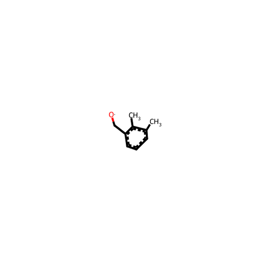 Cc1cccc(C[O])c1C